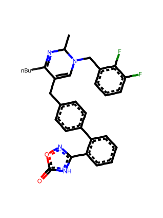 CCCCC1=NC(C)N(Cc2cccc(F)c2F)C=C1Cc1ccc(-c2ccccc2-c2noc(=O)[nH]2)cc1